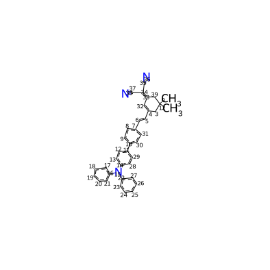 CC1(C)CC(C=Cc2ccc(-c3ccc(N(c4ccccc4)c4ccccc4)cc3)cc2)=CC(=C(C#N)C#N)C1